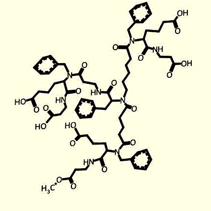 COC(=O)CCNC(=O)C(CCCC(=O)O)N(Cc1ccccc1)C(=O)CCCC(=O)N(CCCCCC(=O)N(Cc1ccccc1)C(CCCC(=O)O)C(=O)NCCC(=O)O)C(Cc1ccccc1)C(=O)NCCC(=O)N(Cc1ccccc1)C(CCCC(=O)O)C(=O)NCCC(=O)O